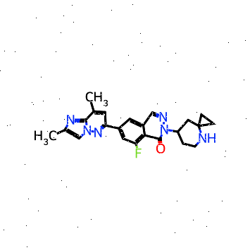 Cc1cn2nc(-c3cc(F)c4c(=O)n(C5CCNC6(CC6)C5)ncc4c3)cc(C)c2n1